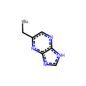 CC(C)(C)Cc1cnc2[nH]cnc2n1